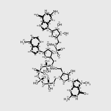 COC[C@H]1[C@@H](O)[C@H](n2c[n+](C)c3c(=O)[nH]c(N)nc32)O[C@@H]1COP(=O)(O)OP(=O)(O)OP(=O)(O)OP(=O)(O)OCC1O[C@@H](n2cnc3c(N)ncnc32)[C@H](OC)[C@@H]1P(=O)([O-])OC[C@H]1O[C@@H](n2cnc3c(=O)[nH]c(N)nc32)[C@H](O)[C@@H]1O